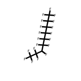 F[C](C(F)(F)C(F)(F)F)C(F)(F)C(F)(F)C(F)(F)C(F)(F)C(F)(F)C(F)(F)F